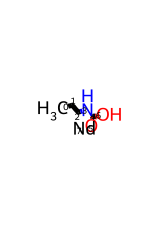 CCCNC(=O)O.[Nd]